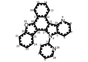 c1ccc(-n2c3cccnc3c3c4ccccc4c4oc5ccccc5c4c32)nc1